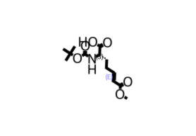 COC(=O)/C=C/CC[C@H](NC(=O)OC(C)(C)C)C(=O)O